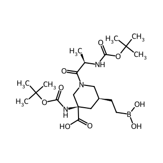 C[C@@H](NC(=O)OC(C)(C)C)C(=O)N1C[C@@H](CCB(O)O)C[C@](NC(=O)OC(C)(C)C)(C(=O)O)C1